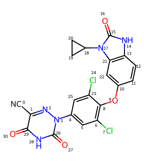 N#Cc1nn(-c2cc(Cl)c(Oc3ccc4[nH]c(=O)n(C5CC5)c4c3)c(Cl)c2)c(=O)[nH]c1=O